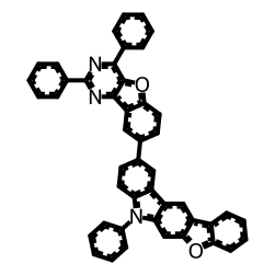 c1ccc(-c2nc(-c3ccccc3)c3oc4ccc(-c5ccc6c(c5)c5cc7c(cc5n6-c5ccccc5)oc5ccccc57)cc4c3n2)cc1